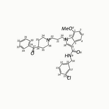 COc1cccc2c(C(=O)NCc3cccc(Cl)c3)cn(CCCN3CCC(C(=O)c4ccccc4)CC3)c12